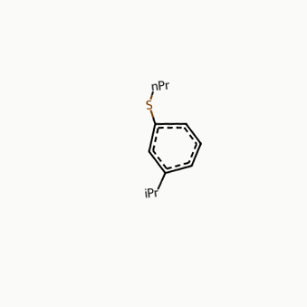 CCCSc1cccc(C(C)C)c1